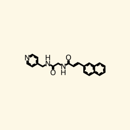 O=C(/C=C/c1ccc2ccccc2c1)NCC(=O)NCc1ccncc1